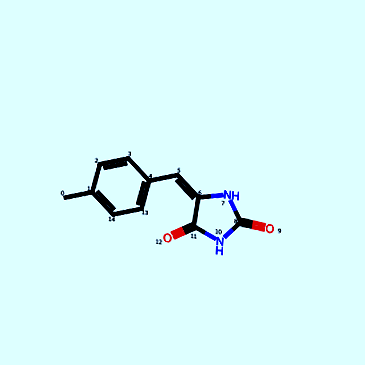 Cc1ccc(C=C2NC(=O)NC2=O)cc1